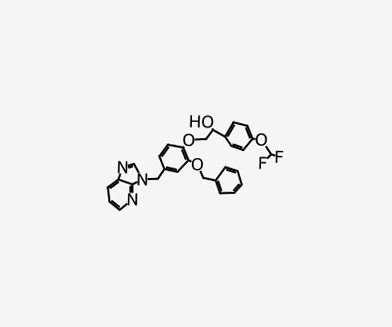 OC(COc1ccc(Cn2cnc3cccnc32)cc1OCc1ccccc1)c1ccc(OC(F)F)cc1